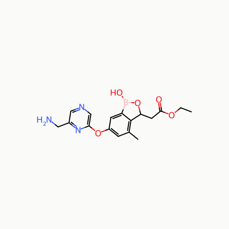 CCOC(=O)CC1OB(O)c2cc(Oc3cncc(CN)n3)cc(C)c21